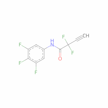 C#CC(F)(F)C(=O)Nc1cc(F)c(F)c(F)c1